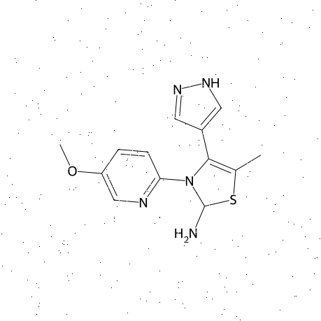 COc1ccc(N2C(c3cn[nH]c3)=C(C)SC2N)nc1